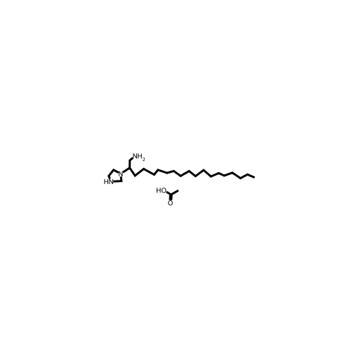 CC(=O)O.CCCCCCCCCCCCCCCCCC(CN)N1CCNC1